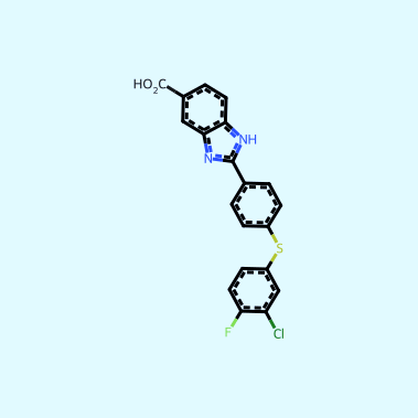 O=C(O)c1ccc2[nH]c(-c3ccc(Sc4ccc(F)c(Cl)c4)cc3)nc2c1